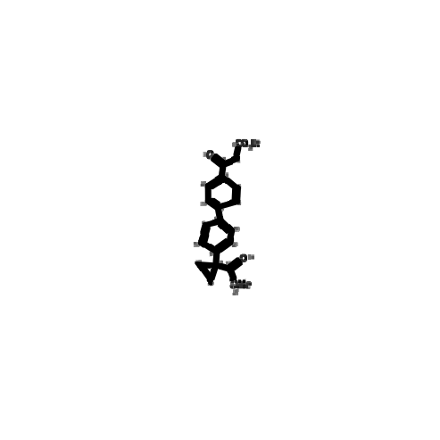 CCOC(=O)CC(=O)c1ccc(-c2ccc(C3(C(=O)OC)CC3)cc2)cc1